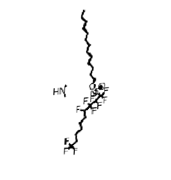 CCCCCCCCCCCCCOS(=O)(=O)C(F)(F)C(F)(F)C(F)(F)C(F)CCCCCC(F)(F)F.CNC